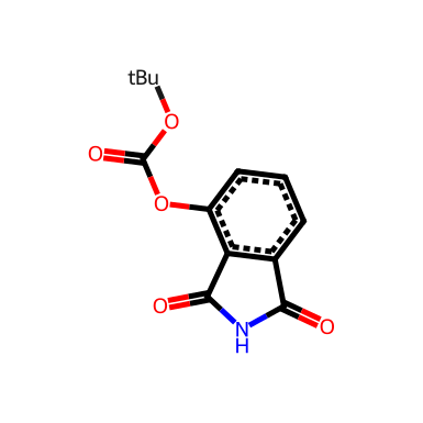 CC(C)(C)OC(=O)Oc1cccc2c1C(=O)NC2=O